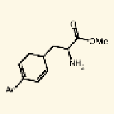 COC(=O)[C@@H](N)CC1C=CC(C(C)=O)=CC1